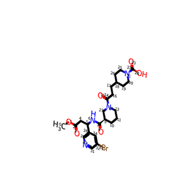 COC(=O)CC(NC(=O)[C@@H]1CCCN(C(=O)CCC2CCN(C(=O)O)CC2)C1)c1cncc(Br)c1